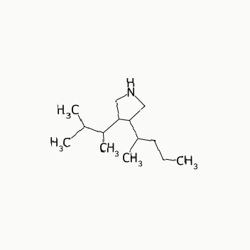 CCCC(C)C1CNCC1C(C)C(C)C